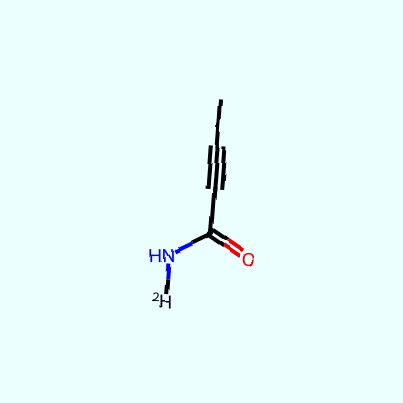 [2H]NC(=O)C#CC